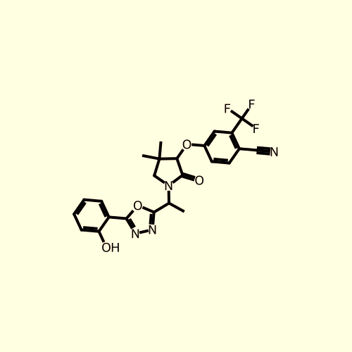 CC(c1nnc(-c2ccccc2O)o1)N1CC(C)(C)C(Oc2ccc(C#N)c(C(F)(F)F)c2)C1=O